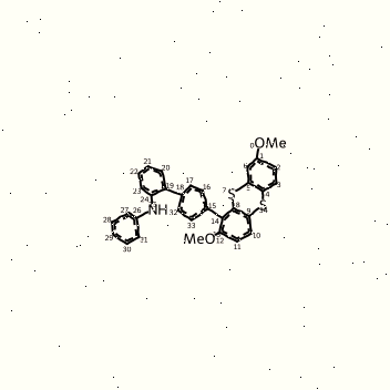 COc1ccc2c(c1)Sc1c(ccc(OC)c1-c1ccc(-c3ccccc3Nc3ccccc3)cc1)S2